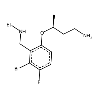 CCNCc1c(O[C@@H](C)CCN)ccc(F)c1Br